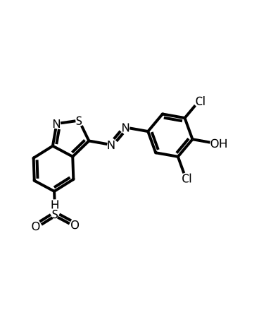 O=[SH](=O)c1ccc2nsc(/N=N/c3cc(Cl)c(O)c(Cl)c3)c2c1